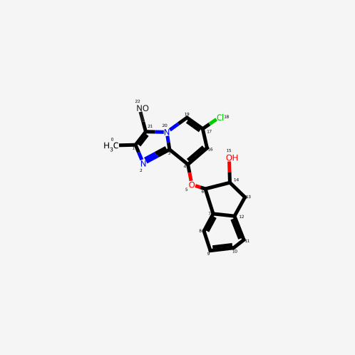 Cc1nc2c(OC3c4ccccc4CC3O)cc(Cl)cn2c1N=O